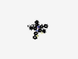 CC1(C)c2ccccc2-c2cc3c4c(c21)-c1cc2ccccc2cc1N(c1ccc(-c2ccccc2)cc1)B4c1cc2c(cc1N3c1ccc3c(c1)sc1ccccc13)sc1ccccc12